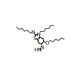 CCCCCC/N=c1\sc2cc(N=N)c(OCCCCCC)cc2n1CCCCCC